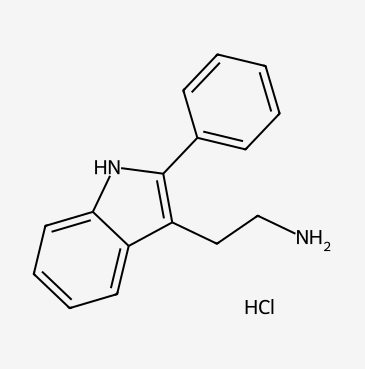 Cl.NCCc1c(-c2ccccc2)[nH]c2ccccc12